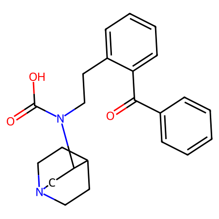 O=C(c1ccccc1)c1ccccc1CCN(C(=O)O)C1CN2CCC1CC2